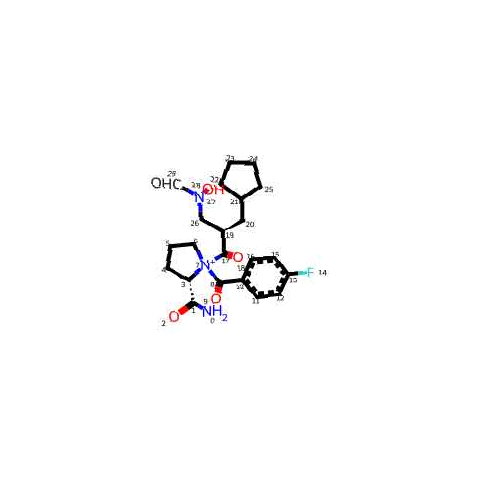 NC(=O)[C@@H]1CCC[N+]1(C(=O)c1ccc(F)cc1)C(=O)[C@H](CC1CCCC1)CN(O)C=O